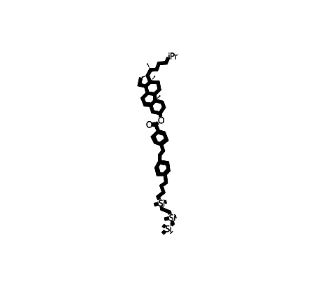 CC(C)CCC[C@@H](C)[C@H]1CCC2C3CC=C4CC(OC(=O)c5ccc(CCc6ccc(CCCC[Si](C)(C)CC[Si](C)(C)C[Si](C)(C)C)cc6)cc5)CC[C@]4(C)C3CC[C@@]21C